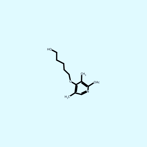 CC(=O)Oc1ncc(C)c(OCCCCCO)c1C